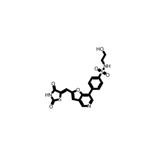 O=C1NC(=O)/C(=C/c2cc3cncc(-c4ccc(S(=O)(=O)NCCO)cc4)c3o2)S1